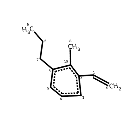 C=[C]c1cccc(CCC)c1C